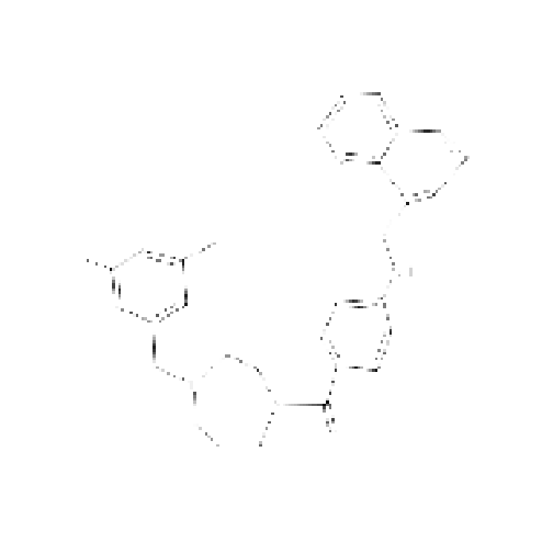 O=C(c1ccc(NSc2cccc3cccnc23)cc1)N1CCCN(Cc2cc(F)cc(F)c2)CC1